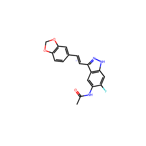 CC(=O)Nc1cc2c(/C=C/c3ccc4c(c3)OCO4)n[nH]c2cc1F